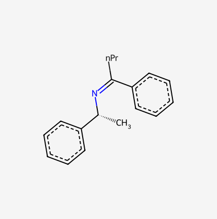 CCCC(=N[C@H](C)c1ccccc1)c1ccccc1